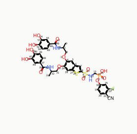 CC(COc1cc2cc(S(=O)(=O)NCP(=O)(O)Oc3ccc(C#N)c(F)c3)sc2cc1OCC(C)NC(=O)c1ccc(O)c(O)c1)NC(=O)c1ccc(O)c(O)c1